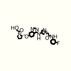 O=C(Cn1cc(Nc2ncnc3cc(OC[C@@H]4CCCN4C(=O)CO)ccc23)cn1)Nc1cccc(F)c1